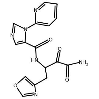 NC(=O)C(=O)C(Cc1cocn1)NC(=O)c1cncn1-c1ccccn1